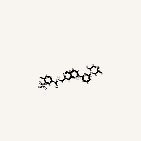 Cc1ccc(C(=O)NCc2cc3nc(-c4cccc(N5CC(C)NCC5C)n4)ccc3cn2)cc1S(C)(=O)=O